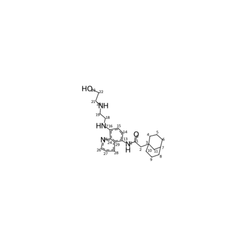 O=C(CC12CCCC(CCC1)C2)Nc1ccc(NCCNCCO)c2ncccc12